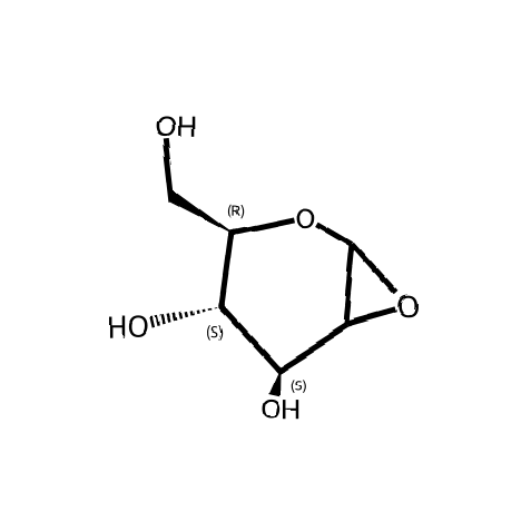 OC[C@H]1OC2OC2[C@@H](O)[C@@H]1O